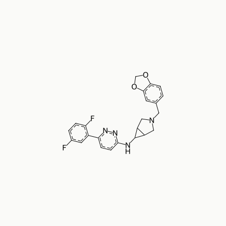 Fc1ccc(F)c(-c2ccc(NC3C4CN(Cc5ccc6c(c5)OCO6)CC43)nn2)c1